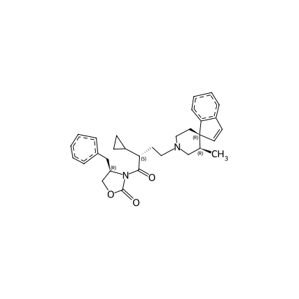 C[C@H]1CN(CC[C@H](C(=O)N2C(=O)OC[C@H]2Cc2ccccc2)C2CC2)CC[C@@]12C=Cc1ccccc12